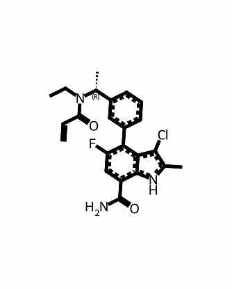 C=CC(=O)N(CC)[C@H](C)c1cccc(-c2c(F)cc(C(N)=O)c3[nH]c(C)c(Cl)c23)c1